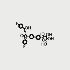 O=C1[C@H](CC[C@@H](O)c2ccc(F)cc2)[C@H](c2ccc(-c3ccc([C@H]4O[C@@H](CO)[C@H](O)[C@@H](O)[C@@H]4O)cc3)cc2)N1c1ccc(F)cc1